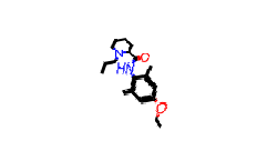 CCCN1CCCCC1C(=O)Nc1c(C)cc(OCC)cc1C